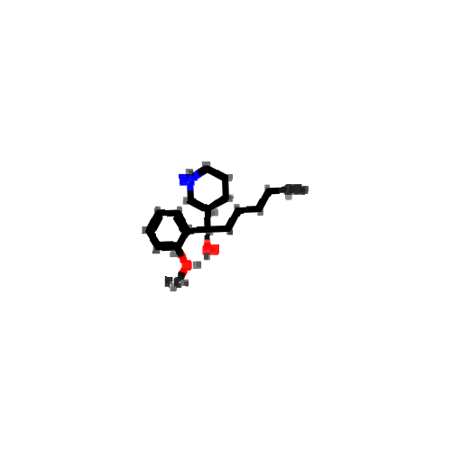 COCCCC[C@@](O)(c1ccccc1OC(F)(F)F)[C@@H]1CCCNC1